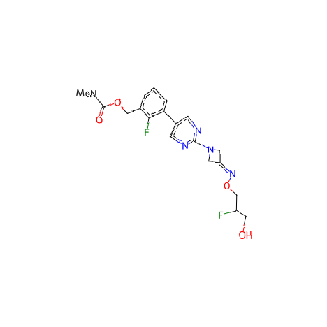 CNC(=O)OCc1cccc(-c2cnc(N3CC(=NOCC(F)CO)C3)nc2)c1F